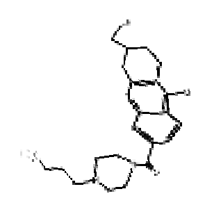 N#CCC1CCc2c(nc3cc(C(=O)N4CCN(CCCC(=O)O)CC4)ccc3c2Cl)C1